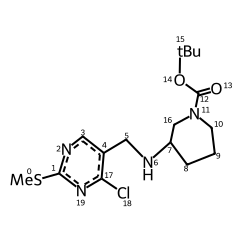 CSc1ncc(CNC2CCCN(C(=O)OC(C)(C)C)C2)c(Cl)n1